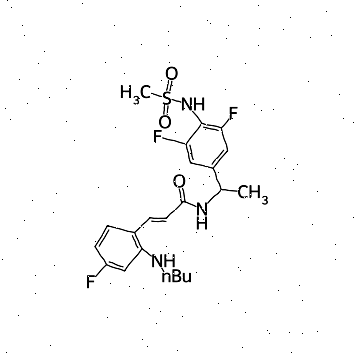 CCCCNc1cc(F)ccc1/C=C/C(=O)NC(C)c1cc(F)c(NS(C)(=O)=O)c(F)c1